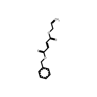 C=CCOC(=O)/C=C/C(=O)OCc1ccccc1